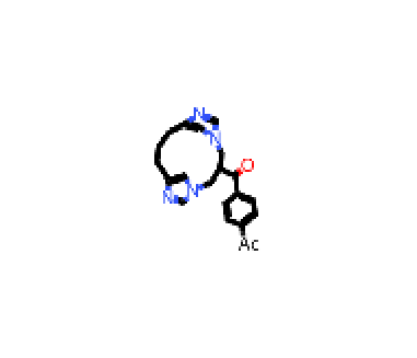 CC(=O)c1ccc(C(=O)C2Cn3cnc(c3)CCCc3cn(cn3)C2)cc1